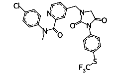 CN(C(=O)c1cc(CN2CC(=O)N(c3ccc(SC(F)(F)F)cc3)C2=O)ccn1)c1ccc(Cl)cc1